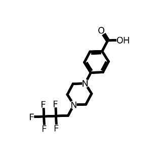 O=C(O)c1ccc(N2CCN(CC(F)(F)C(F)(F)F)CC2)cc1